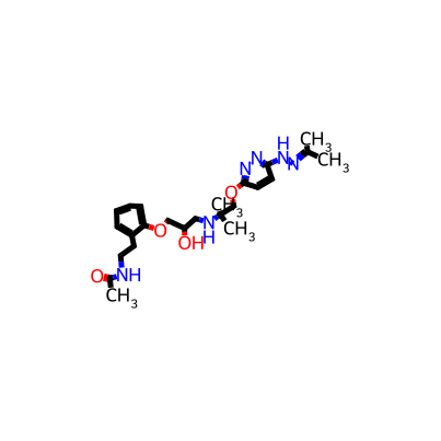 CC(=O)NCCc1ccccc1OCC(O)CNC(C)(C)COc1ccc(NN=C(C)C)nn1